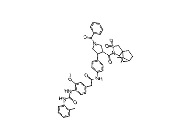 COc1cc(CC(=O)Nc2ccc(C3CN(C(=O)c4ccccc4)CC3C(=O)N3C4CC5CCC4(CS3(=O)=O)C5(C)C)cc2)ccc1NC(=O)Nc1ccccc1C